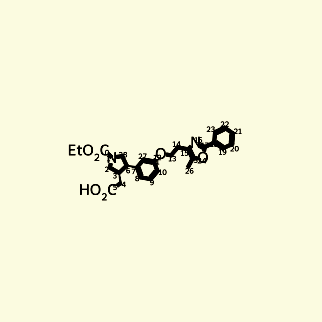 CCOC(=O)N1C[C@H](CC(=O)O)[C@H](c2cccc(OCCc3nc(-c4ccccc4)oc3C)c2)C1